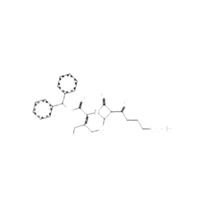 O=C(O)CCCC(=O)C1C(=O)N2C(C(=O)OC(c3ccccc3)c3ccccc3)=C(CCl)CSC12